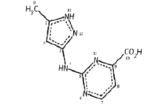 Cc1cc(Nc2nccc(C(=O)O)n2)n[nH]1